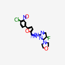 O=Nc1cc(-c2ccc(/C=N\NC3=NC(N4CCOCC4)C(F)C=N3)o2)ccc1Cl